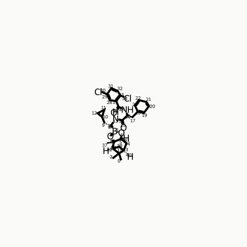 CC1(C)[C@@H]2C[C@H]3OB([C@H](CC4CC4)NC(=O)[C@H](Cc4ccccc4)NC(=O)c4cc(Cl)ccc4Cl)O[C@@]3(C)[C@H]1C2